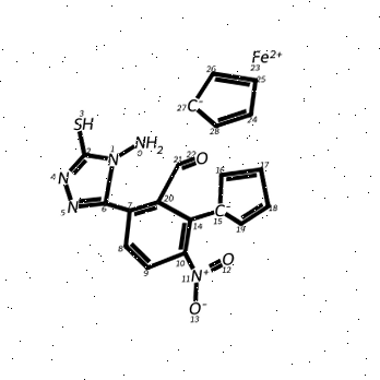 Nn1c(S)nnc1-c1ccc([N+](=O)[O-])c(-[c-]2cccc2)c1C=O.[Fe+2].c1cc[cH-]c1